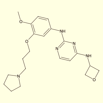 COc1ccc(Nc2nccc(NC3COC3)n2)cc1OCCCN1CCCC1